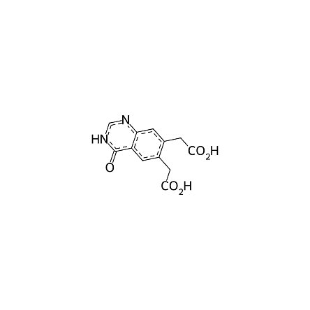 O=C(O)Cc1cc2nc[nH]c(=O)c2cc1CC(=O)O